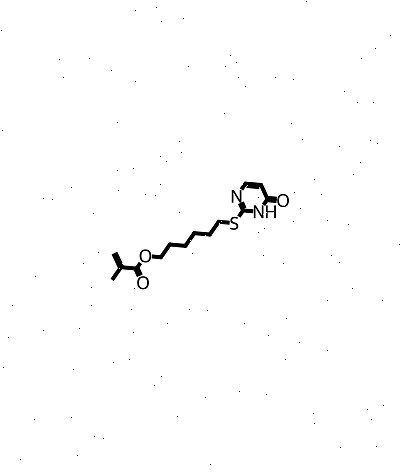 C=C(C)C(=O)OCCCCCCSc1nccc(=O)[nH]1